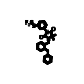 CC1(C)C(=O)N(c2cccc(SC(F)(F)F)c2)C(=O)N1CC1=CC=CCC1Cc1ccccc1